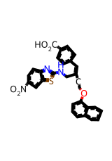 O=C(O)c1ccc(C=C(CCOc2cccc3ccccc23)CNc2nc3ccc([N+](=O)[O-])cc3s2)cc1